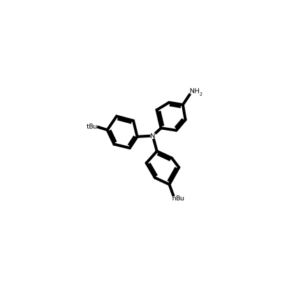 CCCCc1ccc(N(c2ccc(N)cc2)c2ccc(C(C)(C)C)cc2)cc1